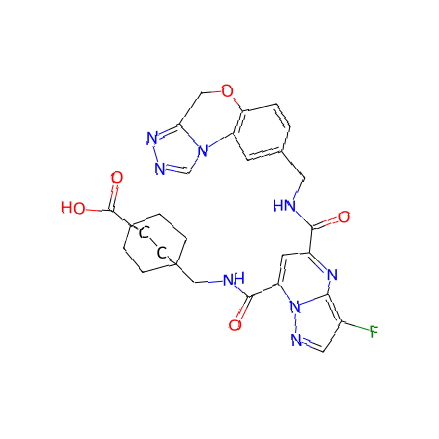 O=C(NCc1ccc2c(c1)-n1cnnc1CO2)c1cc(C(=O)NCC23CCC(C(=O)O)(CC2)CC3)n2ncc(F)c2n1